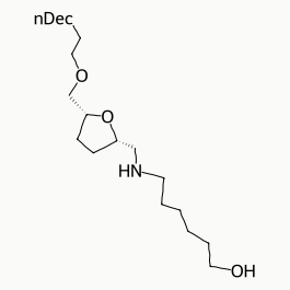 CCCCCCCCCCCCOC[C@H]1CC[C@@H](CNCCCCCCO)O1